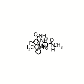 C=C(c1nc(Nc2cncc(C(=O)NC)c2)c(C(N)=O)cc1F)[C@@H]1CCCC[C@@H]1N